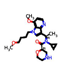 COCCCCn1cc([C@@H](C)N(C(=O)[C@H]2CNCCO2)C2CC2)c2nccc(OC)c21